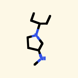 CCC(CC)N1CC[C@H](NC)C1